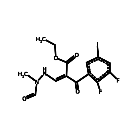 CCOC(=O)/C(=C\NN(C)C=O)C(=O)c1cc(I)cc(F)c1F